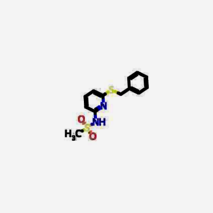 CS(=O)(=O)Nc1cccc(SCc2ccccc2)n1